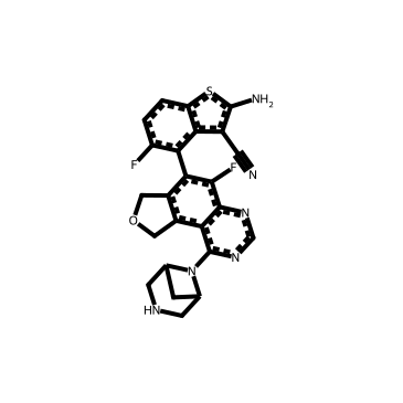 N#Cc1c(N)sc2ccc(F)c(-c3c4c(c5c(N6C7CNCC6C7)ncnc5c3F)COC4)c12